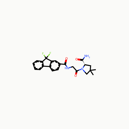 CC1(C)C[C@@H](C(N)=O)N(C(=O)CNC(=O)c2ccc3c(c2)C(F)(F)c2ccccc2-3)C1